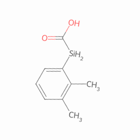 Cc1cccc([SiH2]C(=O)O)c1C